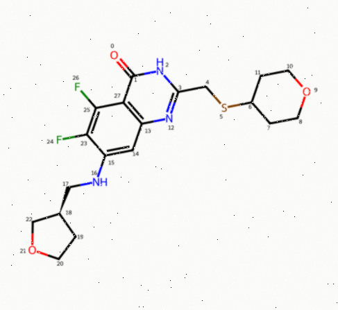 O=c1[nH]c(CSC2CCOCC2)nc2cc(NC[C@H]3CCOC3)c(F)c(F)c12